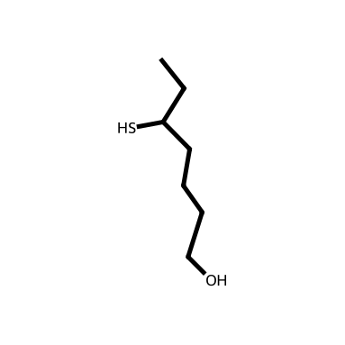 CCC(S)CCCCO